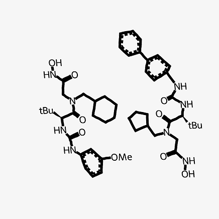 CC(C)(C)[C@H](NC(=O)Nc1ccc(-c2ccccc2)cc1)C(=O)N(CC(=O)NO)CC1CCCC1.COc1cccc(NC(=O)N[C@H](C(=O)N(CC(=O)NO)CC2CCCCC2)C(C)(C)C)c1